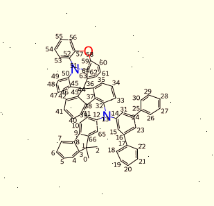 CC1(C)c2ccccc2-c2ccc(N(c3cc(-c4ccccc4)cc(-c4ccccc4)c3)c3cccc4c3-c3ccccc3C43c4ccccc4N4c5ccccc5Oc5cccc3c54)cc21